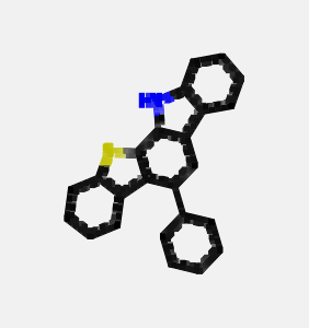 c1ccc(-c2cc3c4ccccc4[nH]c3c3sc4ccccc4c23)cc1